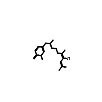 C=C1C=CC(CC(C)CCC/C(C)=C(/Cl)C=C(C)C)=CC1C